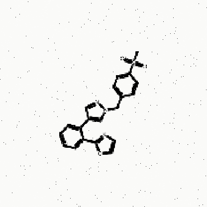 CS(=O)(=O)c1ccc(Cn2cc(-c3ccccc3-c3ncco3)cn2)cc1